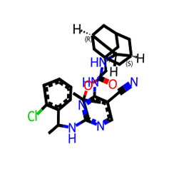 CC(Nc1ncc(C#N)c(NC[C@]23CC4C[C@H](C2)[C@@H](NC(=O)OC(C)(C)C)[C@@H](C4)C3)n1)c1ccccc1Cl